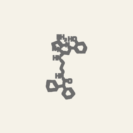 Bc1cnn2c(NCCCNC(=O)C(c3ccccc3)c3ccccc3)cc(-c3ccccc3O)nc12